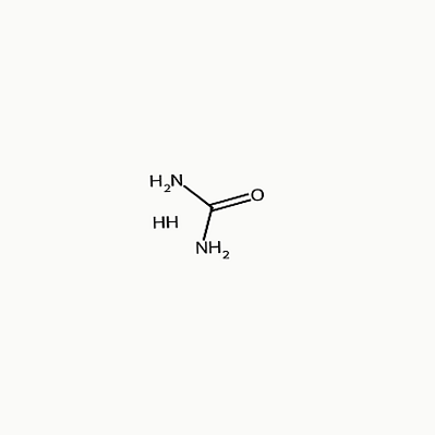 NC(N)=O.[HH]